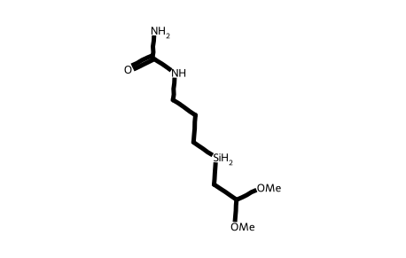 COC(C[SiH2]CCCNC(N)=O)OC